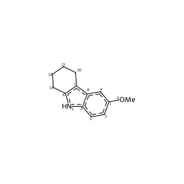 COc1ccc2[nH]c3c(c2c1)CCCC3